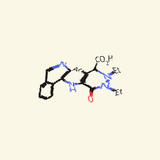 CCN1C(=O)C(Nc2cncc3ccccc23)=C(C(C)=O)C(C(=O)O)N1CC